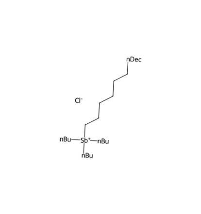 CCCCCCCCCCCCCCC[CH2][Sb+]([CH2]CCC)([CH2]CCC)[CH2]CCC.[Cl-]